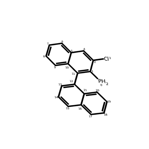 Pc1c(Cl)cc2ccccc2c1-c1cccc2ccccc12